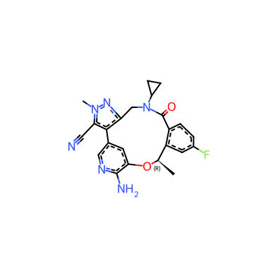 C[C@H]1Oc2cc(cnc2N)-c2c(nn(C)c2C#N)CN(C2CC2)C(=O)c2ccc(F)cc21